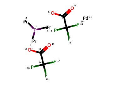 CC(C)P(C(C)C)C(C)C.O=C([O-])C(F)(F)F.O=C([O-])C(F)(F)F.[Pd+2]